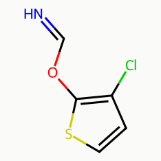 N=COc1sccc1Cl